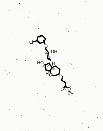 CC(C)OC(=O)CCC[C@H]1CC[C@@H]2[C@@H](/C=C/[C@@H](O)COc3cccc(Cl)c3)[C@H](O)C[C@@H]2OC1